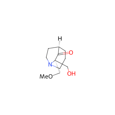 COC[C@@]1(CO)C(=O)[C@@H]2CCCN1CC2